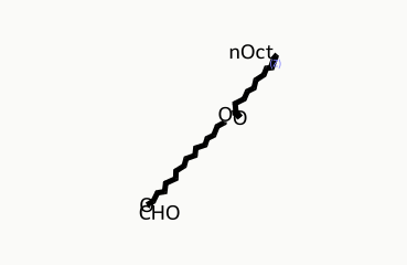 CCCCCCCC/C=C\CCCCCCCC(=O)OCCCCCCCCCCCCCCCOC=O